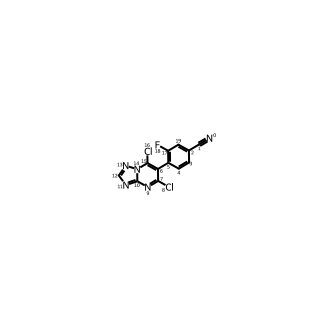 N#Cc1ccc(-c2c(Cl)nc3ncnn3c2Cl)c(F)c1